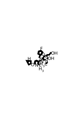 CCN1c2nc(-c3ccc(OC4CC5=C[C@@H]5C4)nc3C)n(Cc3ccc(F)cc3)c2C(=O)N(CCCO)C1O